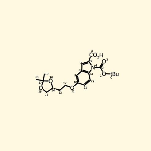 CC(C)(C)OC(=O)n1c(C(=O)O)cc2cc(OCC[C@H]3COC(C)(C)O3)ccc21